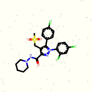 CS(=O)(=O)Cc1c(C(=O)NN2CCCCC2)nn(-c2ccc(Cl)cc2Cl)c1-c1ccc(Cl)cc1